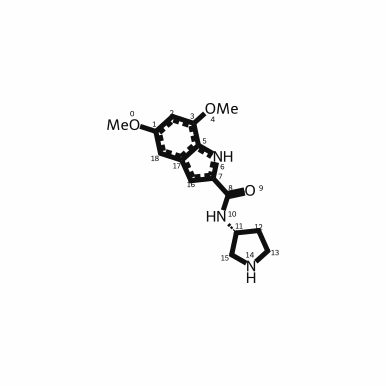 COc1cc(OC)c2[nH]c(C(=O)N[C@@H]3CCNC3)cc2c1